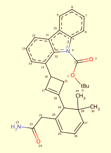 CC(C)(C)OC(=O)n1c2ccccc2c2cccc(C3C=C(C4C(CC(N)=O)=CC=CC4(C)C)C3)c21